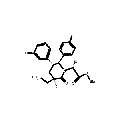 CC[C@H](C(=O)OC(C)(C)C)N1C(=O)[C@@](C)(CC(=O)O)C[C@H](c2cccc(Cl)c2)[C@H]1c1ccc(Cl)cc1